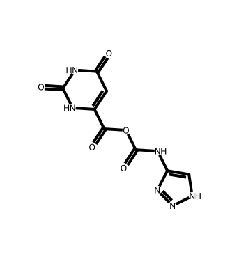 O=C(Nc1c[nH]nn1)OC(=O)c1cc(=O)[nH]c(=O)[nH]1